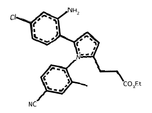 CCOC(=O)CCc1ccc(-c2ccc(Cl)cc2N)n1-c1ccc(C#N)cc1C